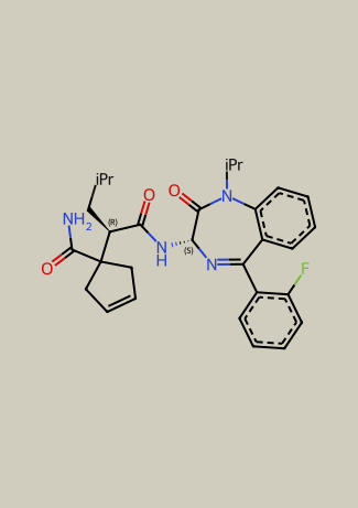 CC(C)C[C@@H](C(=O)N[C@H]1N=C(c2ccccc2F)c2ccccc2N(C(C)C)C1=O)C1(C(N)=O)CC=CC1